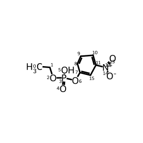 CCOP(=O)(O)Oc1cccc([N+](=O)[O-])c1